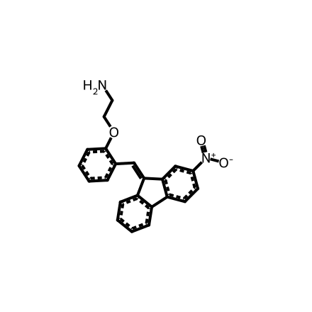 NCCOc1ccccc1/C=C1\c2ccccc2-c2ccc([N+](=O)[O-])cc21